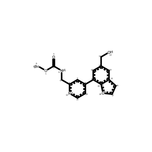 CC(C)(C)OC(=O)NCc1cc(-c2cc(CO)cc3ccoc23)ccn1